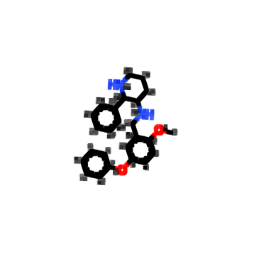 COc1ccc(Oc2ccccc2)cc1CNC1CCCNC1c1ccccc1